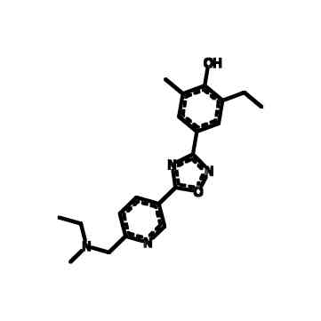 CCc1cc(-c2noc(-c3ccc(CN(C)CC)nc3)n2)cc(C)c1O